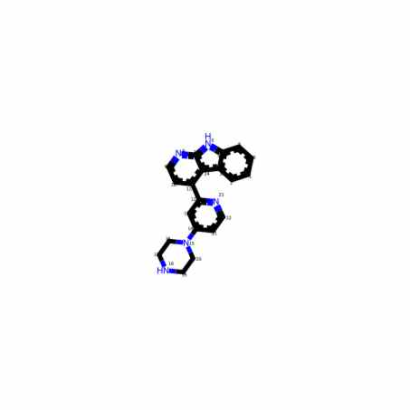 c1ccc2c(c1)[nH]c1nccc(-c3cc(N4CCNCC4)ccn3)c12